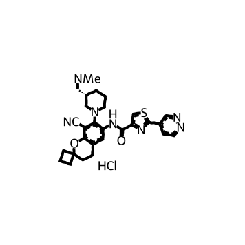 CNC[C@@H]1CCCN(c2c(NC(=O)c3csc(-c4ccnnc4)n3)cc3c(c2C#N)OC2(CCC2)CC3)C1.Cl